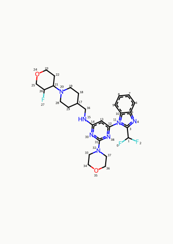 FC(F)c1nc2ccccc2n1-c1cc(NCC2CCN(C3CCOCC3F)CC2)nc(N2CCOCC2)n1